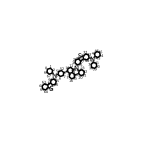 c1ccc(N(c2ccc(-c3ccc4c5c(cccc35)-c3ccccc3N4c3ccc4sc5ccc(N(c6ccccc6)c6ccccc6)cc5c4c3)cc2)c2ccc3sc4ccccc4c3c2)cc1